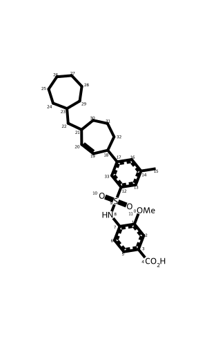 COc1cc(C(=O)O)ccc1NS(=O)(=O)c1cc(C)cc(C2C=CC(CC3CCCCCC3)CCC2)c1